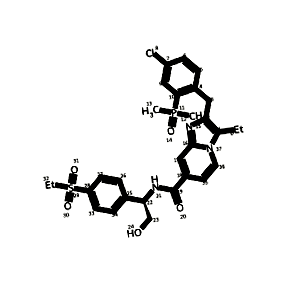 CCc1c(Cc2ccc(Cl)cc2P(C)(C)=O)nc2cc(C(=O)N[C@@H](CO)c3ccc(S(=O)(=O)CC)cc3)ccn12